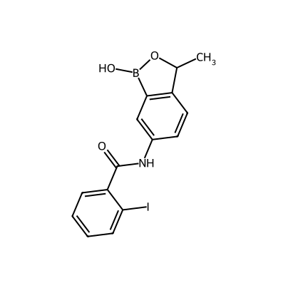 CC1OB(O)c2cc(NC(=O)c3ccccc3I)ccc21